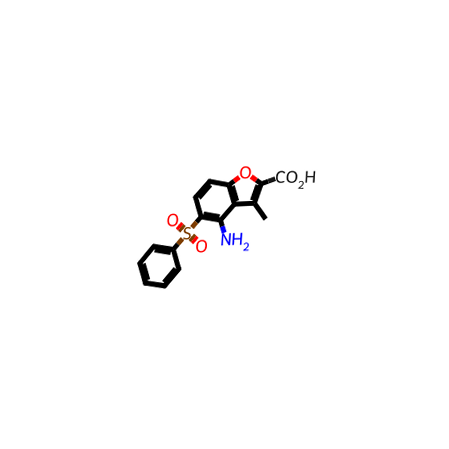 Cc1c(C(=O)O)oc2ccc(S(=O)(=O)c3ccccc3)c(N)c12